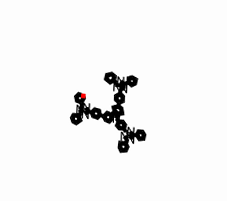 c1ccc(-c2nc(-c3ccccc3)nc(-c3ccc(-c4ccc5c(c4)c4cc(-c6ccc(-c7nc(-c8ccccc8)nc(-c8ccccc8)n7)cc6)ccc4n5-c4ccc(-c5nc(-c6ccccc6)nc(-c6ccccc6)n5)cc4)cc3)n2)cc1